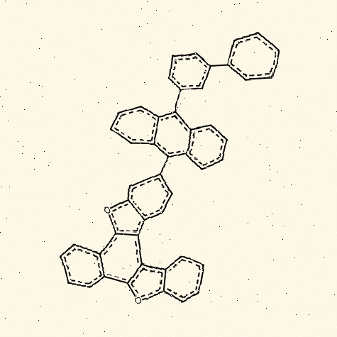 c1ccc(-c2cccc(-c3c4ccccc4c(-c4ccc5c(c4)oc4c6ccccc6c6oc7ccccc7c6c54)c4ccccc34)c2)cc1